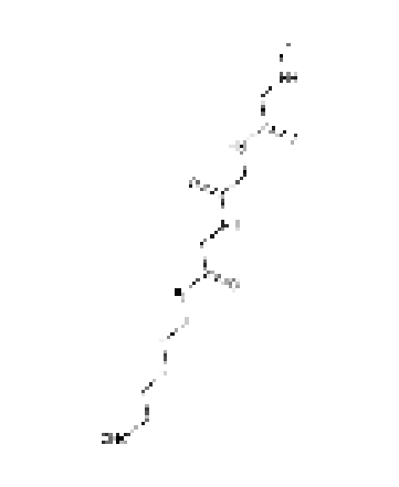 CC(C)NCC(=O)NCC(=O)NCC(=O)NCCCCCC=O